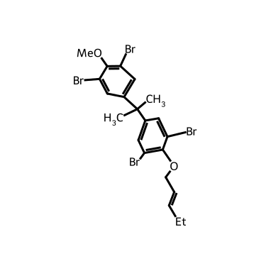 CCC=CCOc1c(Br)cc(C(C)(C)c2cc(Br)c(OC)c(Br)c2)cc1Br